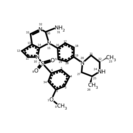 COc1cccc(S(=O)(=O)n2ccc3c2N(c2ccc(N4C[C@H](C)N[C@@H](C)C4)cc2)C(N)N=C3)c1